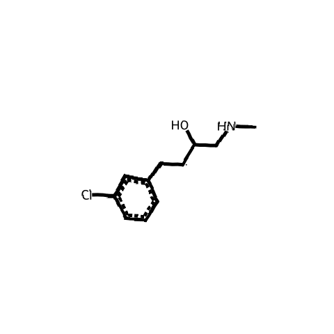 CNCC(O)[CH]Cc1cccc(Cl)c1